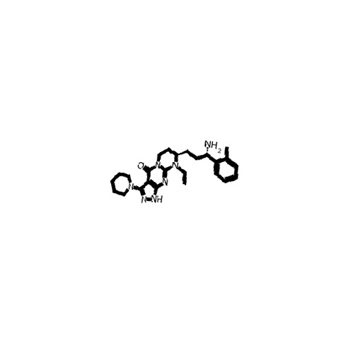 CCN1c2nc3[nH]nc(N4CCCCC4)c3c(=O)n2CC[C@H]1CC[C@H](N)c1ccccc1C